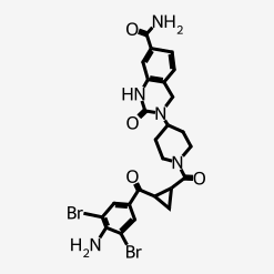 NC(=O)c1ccc2c(c1)NC(=O)N(C1CCN(C(=O)C3CC3C(=O)c3cc(Br)c(N)c(Br)c3)CC1)C2